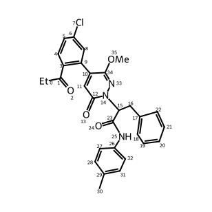 CCC(=O)c1ccc(Cl)cc1-c1cc(=O)n(C(Cc2ccccc2)C(=O)Nc2ccc(C)cc2)nc1OC